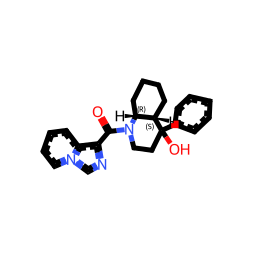 O=C(c1ncn2ccccc12)N1CCC(O)(c2ccccc2)[C@H]2CCCC[C@H]21